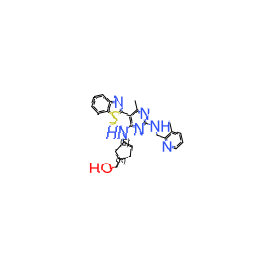 Cc1cccnc1CNc1nc(C)c(-c2nc3ccccc3s2)c(N[C@H]2CC[C@@H](CO)C2)n1